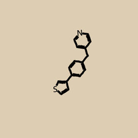 c1cc(Cc2ccc(-c3ccsc3)cc2)ccn1